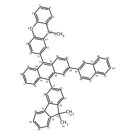 CN1c2ccccc2Oc2ccc(-c3c4ccccc4c(-c4ccc5c(c4)-c4ccccc4C5(C)C)c4cc(-c5ccc6ccccc6c5)ccc34)cc21